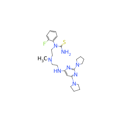 CN(CCNc1cc(N2CCCC2)nc(N2CCCC2)n1)CCN(C(N)=S)c1ccccc1F